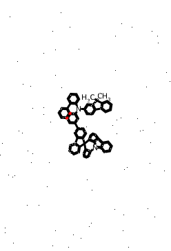 CC1(C)c2ccccc2-c2ccc(N(c3cccc(-c4ccc5c(c4)-c4ccccc4C54c5ccccc5-n5c6ccccc6c6cccc4c65)c3)c3ccccc3-c3ccccc3)cc21